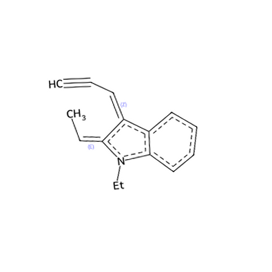 C#C/C=c1\c(=C/C)n(CC)c2ccccc12